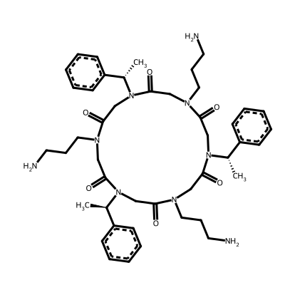 C[C@H](c1ccccc1)N1CC(=O)N(CCCN)CC(=O)N([C@@H](C)c2ccccc2)CC(=O)N(CCCN)CC(=O)N([C@@H](C)c2ccccc2)CC(=O)N(CCCN)CC1=O